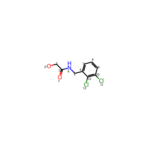 [O]CC(=O)NCc1cccc(Cl)c1Cl